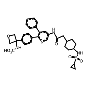 O=C(O)NC1(c2ccc(-c3ncc(NC(=O)CC4CCC(NS(=O)(=O)C5CC5)CC4)cc3-c3ccccc3)cc2)COC1